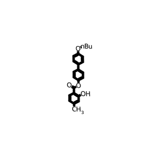 CCCCOc1ccc(-c2ccc(OC(=O)c3ccc(C)cc3O)cc2)cc1